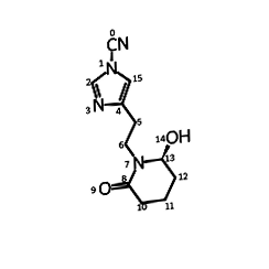 N#Cn1cnc(CCN2C(=O)CCC[C@@H]2O)c1